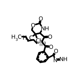 CCCCC[C@@H](C(=O)c1ccccc1C(=O)N=N)C(=O)C1NC(=O)OCC1(C)C